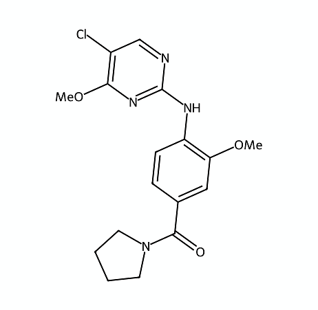 COc1cc(C(=O)N2CCCC2)ccc1Nc1ncc(Cl)c(OC)n1